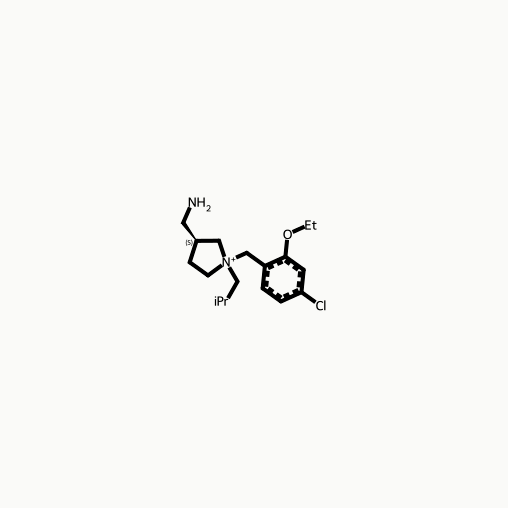 CCOc1cc(Cl)ccc1C[N+]1(CC(C)C)CC[C@@H](CN)C1